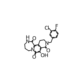 O=C1NCCCn2c1c1c(c(O)c2=O)C(=O)N(Cc2ccc(F)c(Cl)c2)CC1